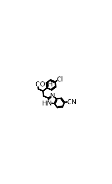 N#Cc1ccc2[nH]c(CC(CC(=O)O)c3ccc(Cl)cc3)nc2c1